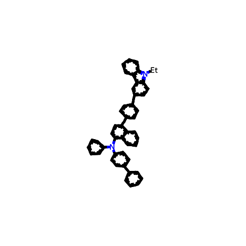 CCn1c2ccccc2c2cc(-c3ccc(-c4ccc(N(c5ccccc5)c5ccc(-c6ccccc6)cc5)c5ccccc45)cc3)ccc21